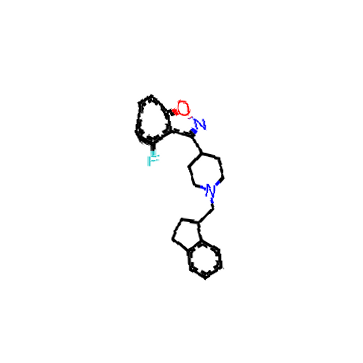 Fc1cccc2onc(C3CCN(CC4CCc5ccccc54)CC3)c12